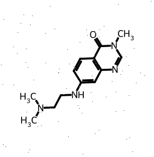 CN(C)CCNc1ccc2c(=O)n(C)cnc2c1